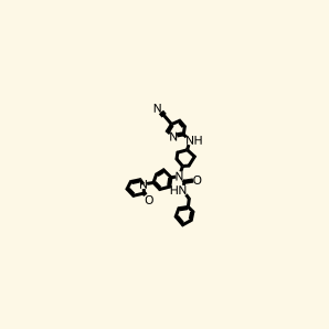 N#Cc1ccc(NC2CCC(N(C(=O)NCc3ccccc3)c3ccc(-n4ccccc4=O)cc3)CC2)nc1